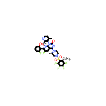 COc1c(F)c(F)c(F)c(F)c1S(=O)(=O)N1CCN(c2nc(=O)n(-c3c(C)ccnc3C(C)C)c3nc(-c4c(O)cccc4F)c(F)cc23)[C@@H](C)C1